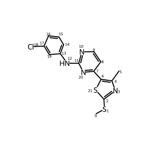 CSc1nc(C)c(-c2ccnc(Nc3cccc(Cl)c3)n2)s1